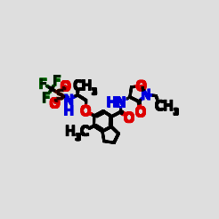 CCN1OC[C@@H](NC(=O)c2cc(OC[C@H](C)NS(=O)(=O)C(F)(F)F)c(C)c3c2CCC3)C1=O